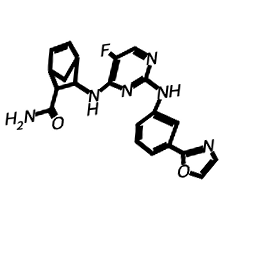 NC(=O)C1C2C=CC(C2)C1Nc1nc(Nc2cccc(-c3ncco3)c2)ncc1F